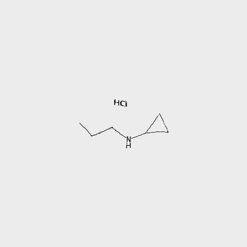 CCCNC1CC1.Cl